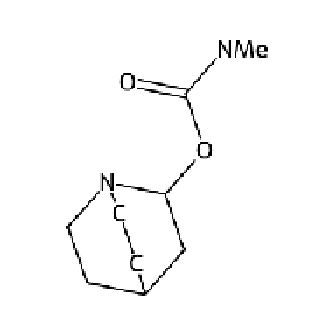 CNC(=O)OC1CC2CCN1CC2